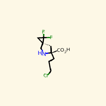 O=C(O)[C@]1(CCCCl)C[C@]2(CN1)CC2(F)F